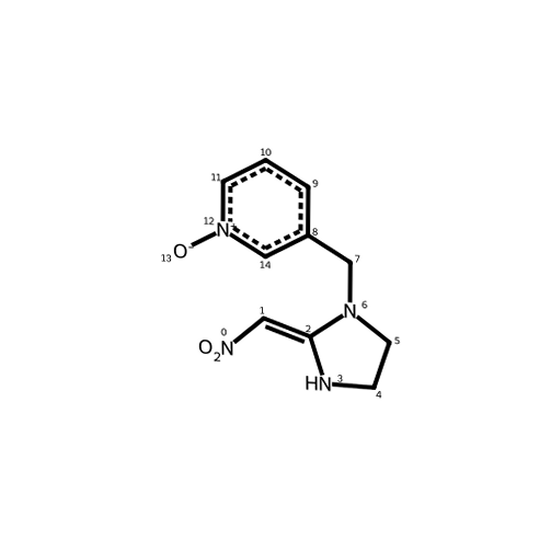 O=[N+]([O-])/C=C1\NCCN1Cc1ccc[n+]([O-])c1